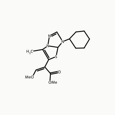 COC=C(C(=O)OC)C1=C(C)N2N=CN(C3CCCCC3)C2S1